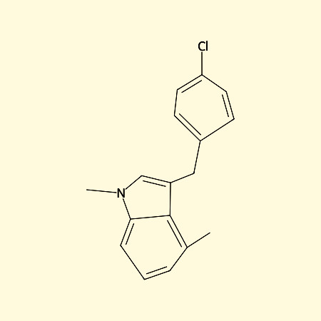 Cc1cccc2c1c(Cc1ccc(Cl)cc1)cn2C